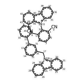 N#Cc1cccc(-c2ccccc2-c2cccc(Cn3c4ccccc4c4ccccc43)c2)c1-n1c2ccccc2c2cccc(C#N)c21